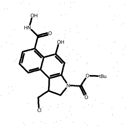 CC(C)(C)OC(=O)N1CC(CCl)c2c1cc(O)c1c(C(=O)NO)cccc21